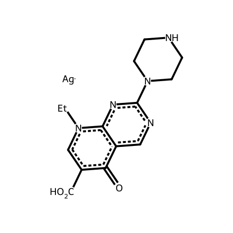 CCn1cc(C(=O)O)c(=O)c2cnc(N3CCNCC3)nc21.[Ag]